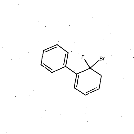 FC1(Br)CC=CC=C1c1ccccc1